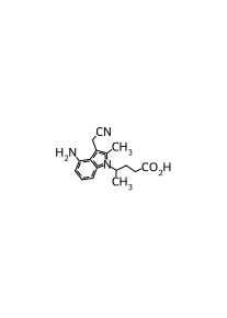 Cc1c(CC#N)c2c(N)cccc2n1C(C)CCC(=O)O